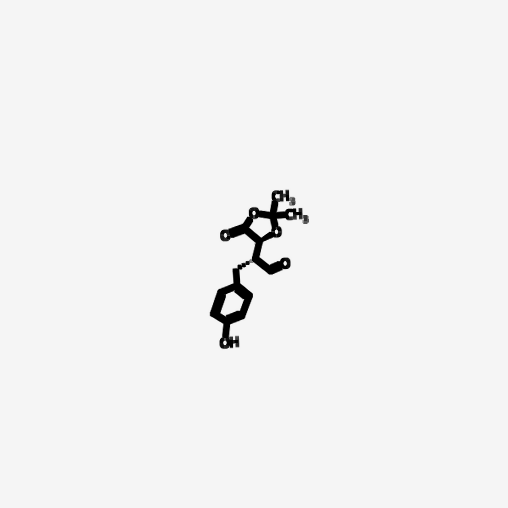 CC1(C)OC(=O)[C@H]([C@H](C=O)Cc2ccc(O)cc2)O1